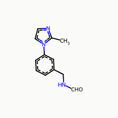 Cc1nccn1-c1cccc(CNC=O)c1